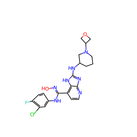 ON=C(Nc1ccc(F)c(Cl)c1)c1ccnc2nc(NC3CCCN(C4COC4)C3)[nH]c12